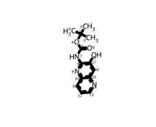 CC(C)(C)OC(=O)Nc1nc2cccnc2cc1O